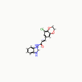 O=C(/C=C/c1cc(Cl)c2c(c1)OCCO2)NN1CNc2ccccc21